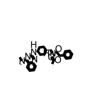 CC(=O)OC(C(=O)NC[C@H]1CC[C@@H](Nc2nc(N(C)C)c3ccccc3n2)CC1)c1ccccc1